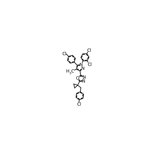 Cc1c(-c2nnc(C3(Cc4ccc(Cl)cc4)CC3)o2)nn(-c2ccc(Cl)cc2Cl)c1-c1ccc(Cl)cc1